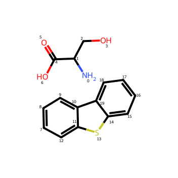 NC(CO)C(=O)O.c1ccc2c(c1)sc1ccccc12